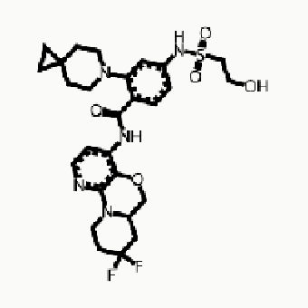 O=C(Nc1ccnc2c1OCC1CC(F)(F)CCN21)c1ccc(NS(=O)(=O)CCO)cc1N1CCC2(CC1)CC2